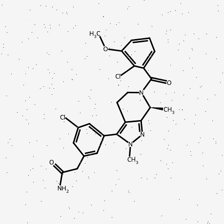 COc1cccc(C(=O)N2CCc3c(nn(C)c3-c3cc(Cl)cc(CC(N)=O)c3)[C@@H]2C)c1Cl